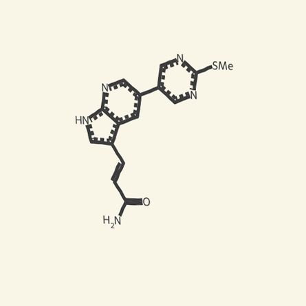 CSc1ncc(-c2cnc3[nH]cc(C=CC(N)=O)c3c2)cn1